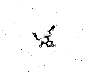 C#CCOC(=O)C1CNCC1C(=O)OCC#C